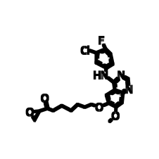 COc1cc2ncnc(Nc3ccc(F)c(Cl)c3)c2cc1OCCCCCCC(=O)C1CO1